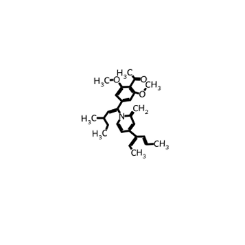 C=C1C=C(C(/C=C/C)=C/C)C=CN1/C(=C\C(C)CC)c1cc(OC)c(C(C)=O)c(OC)c1